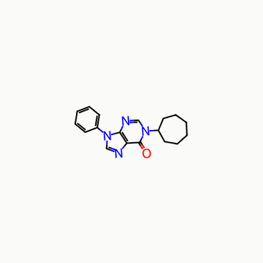 O=c1c2ncn(-c3ccccc3)c2ncn1C1CCCCCC1